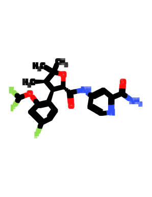 C[C@@H]1[C@H](c2ccc(F)cc2OC(F)F)[C@@H](C(=O)Nc2ccnc(C(N)=O)c2)OC1(C)C